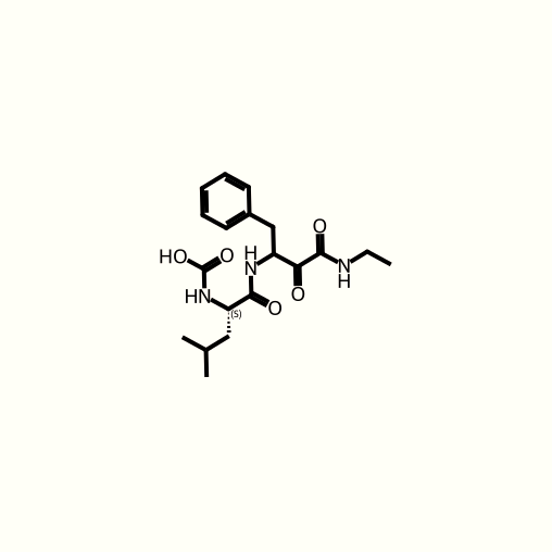 CCNC(=O)C(=O)C(Cc1ccccc1)NC(=O)[C@H](CC(C)C)NC(=O)O